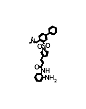 CN(C)Cc1ccc(-c2ccccc2)cc1S(=O)(=O)n1ccc(/C=C/C(=O)Nc2ccccc2N)c1